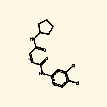 O=C(/C=C\C(=O)NC1CCCC1)Nc1ccc(Cl)c(Cl)c1